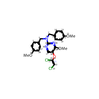 COc1ccc(CN(Cc2ccc(OC)cc2)c2ncc(O/C(Cl)=C/Cl)c(OC)n2)cc1